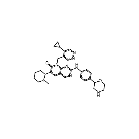 CN1CCCCC1c1cc2cnc(Nc3ccc(C4CNCCO4)cc3)nc2n(Cc2cnncc2C2CC2)c1=O